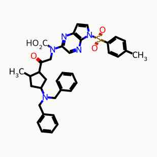 Cc1ccc(S(=O)(=O)n2ccc3nc(N(CC(=O)C4CC(N(Cc5ccccc5)Cc5ccccc5)CC4C)C(=O)O)cnc32)cc1